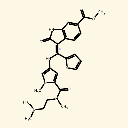 COC(=O)c1ccc2c(c1)NC(=O)/C2=C(\Nc1cc(C(=O)N(C)CCN(C)C)n(C)c1)c1cccs1